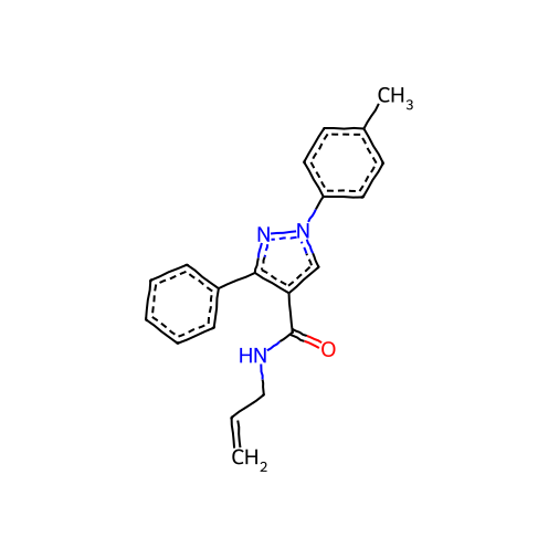 C=CCNC(=O)c1cn(-c2ccc(C)cc2)nc1-c1ccccc1